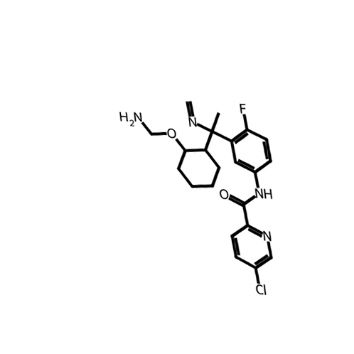 C=NC(C)(c1cc(NC(=O)c2ccc(Cl)cn2)ccc1F)C1CCCCC1OCN